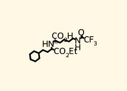 CCOC(=O)C(CCC1CCCCC1)N[C@@H](CCCCNC(=O)C(F)(F)F)C(=O)O